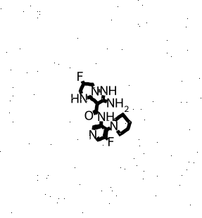 NC1NN2CC(F)CNC2C1C(=O)Nc1cncc(F)c1N1CCCCC1